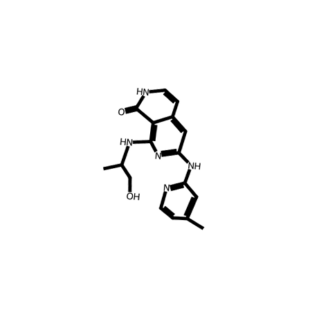 Cc1ccnc(Nc2cc3cc[nH]c(=O)c3c(NC(C)CO)n2)c1